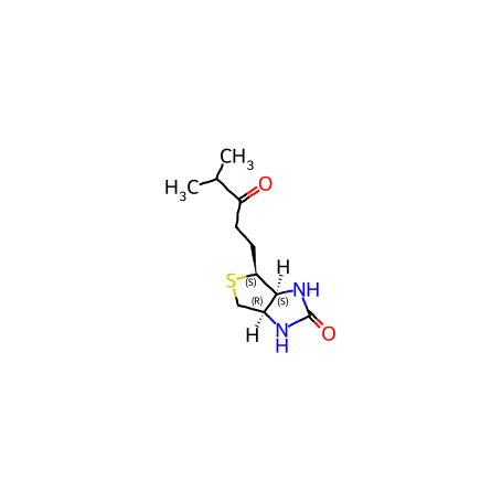 CC(C)C(=O)CC[C@@H]1SC[C@@H]2NC(=O)N[C@@H]21